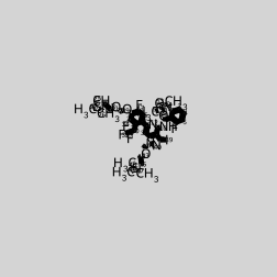 CN(c1cccc(F)c1CNc1nc(-c2cc(F)c(OCOCC[Si](C)(C)C)cc2CC(F)(F)F)cc2c1c(I)nn2COCC[Si](C)(C)C)S(C)(=O)=O